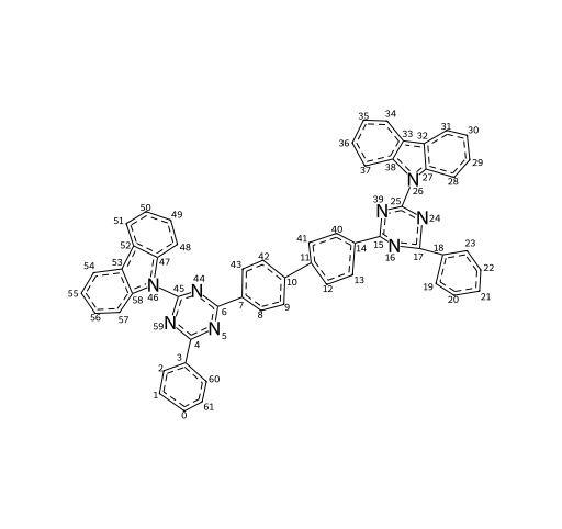 c1ccc(-c2nc(-c3ccc(-c4ccc(-c5nc(-c6ccccc6)nc(-n6c7ccccc7c7ccccc76)n5)cc4)cc3)nc(-n3c4ccccc4c4ccccc43)n2)cc1